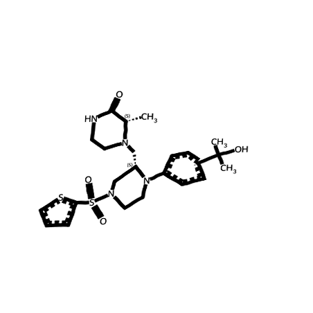 C[C@H]1C(=O)NCCN1C[C@H]1CN(S(=O)(=O)c2cccs2)CCN1c1ccc(C(C)(C)O)cc1